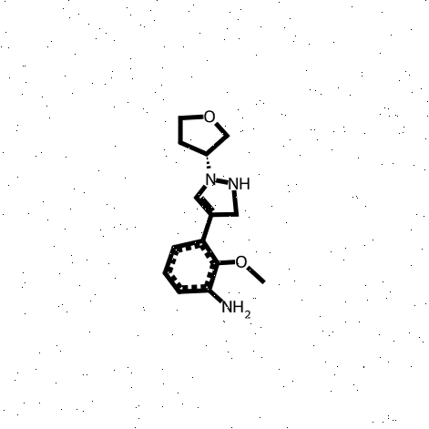 COc1c(N)cccc1C1=CN([C@@H]2CCOC2)NC1